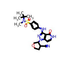 CN(C(C)(C)C)S(=O)(=O)c1ccc(Nc2nn(C3COCCC3C#N)c3cc[nH]c(=O)c23)cc1